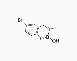 CC1=Cc2cc(Br)ccc2OB1O